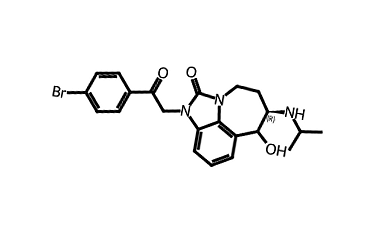 CC(C)N[C@@H]1CCn2c(=O)n(CC(=O)c3ccc(Br)cc3)c3cccc(c32)C1O